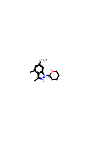 Cc1cc(C(=O)O)cc2c1c(C)nn2C1CCCCO1